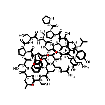 CC(C)C[C@H](NC(=O)CNC(=O)[C@@H]1CCCN1C(=O)[C@@H]1CCCN1)C(=O)N[C@@H](CCCCN)C(=O)N[C@@H](CCCNC(=N)N)C(=O)N[C@@H](Cc1ccccc1)C(=O)N[C@@H](CO)C(=O)N[C@@H](CS)C(=O)N[C@@H](CC(C)C)C(=O)N[C@@H](CO)C(=O)N[C@@H](CC(C)C)C(=O)N1CCC[C@H]1C(=O)N[C@@H](CO)C(=O)N[C@@H](CO)C(=O)N[C@@H](Cc1c[nH]c2ccccc12)C(=O)N[C@@H](CC(=O)O)C(=O)N[C@@H](Cc1ccc(O)cc1)C(=O)NCC(=O)O